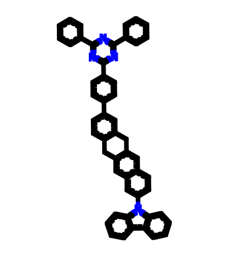 c1ccc(-c2nc(-c3ccccc3)nc(-c3ccc(-c4ccc5c(c4)Cc4cc6ccc(-n7c8ccccc8c8ccccc87)cc6cc4C5)cc3)n2)cc1